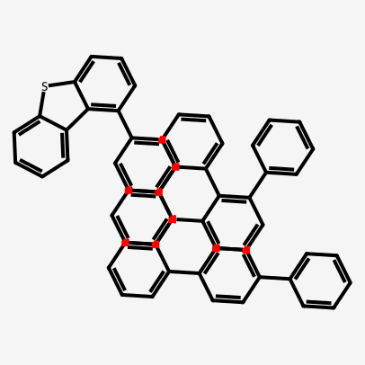 c1ccc(-c2ccc(-c3ccccc3N(c3ccc(-c4cccc5sc6ccccc6c45)cc3)c3cccc(-c4ccccc4)c3-c3ccccc3-c3ccccc3)cc2)cc1